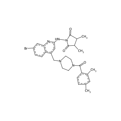 Cc1ccc(C(=O)N2CCN(Cc3cc(NN4C(=O)C(C)C(C)C4=O)nc4cc(Br)ccc34)CC2)c(C)c1